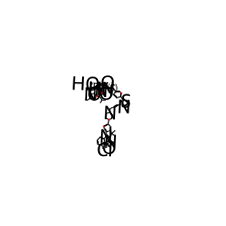 Cc1cc(C(C(=O)N2C[C@H](O)C[C@H]2C(=O)N[C@@H](C)c2ccc(-c3scnc3C#CCN3CCC(c4ccc5c(c4)C(C)(C)c4nc(=O)c6c(Cl)cccc6n4-5)CC3)cc2)C(C)C)on1